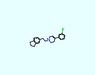 Fc1cccc(C2=CCN(CCc3ccc4c(c3)CCC4)CC2)c1